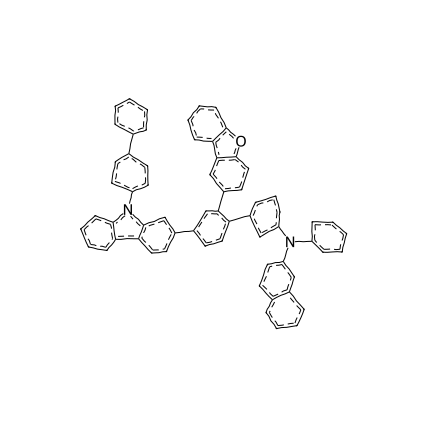 c1ccc(-c2ccc(-n3c4ccccc4c4ccc(-c5ccc(-c6cccc(N(c7ccccc7)c7ccc8ccccc8c7)c6)c(-c6ccc7oc8ccccc8c7c6)c5)cc43)cc2)cc1